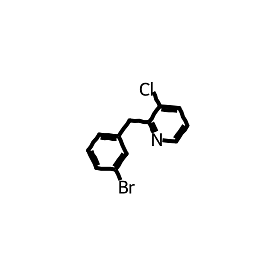 Clc1cccnc1Cc1cccc(Br)c1